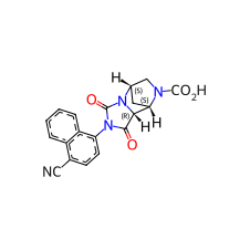 N#Cc1ccc(N2C(=O)[C@H]3[C@@H]4C[C@@H](CN4C(=O)O)N3C2=O)c2ccccc12